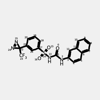 O=C(Nc1ccc2ccccc2c1)NS(=O)(=O)c1cccc(C2(C(F)(F)F)N=N2)c1